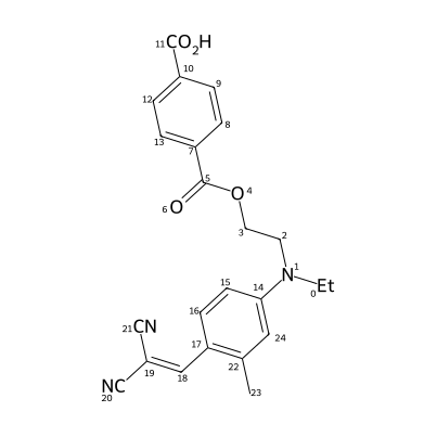 CCN(CCOC(=O)c1ccc(C(=O)O)cc1)c1ccc(C=C(C#N)C#N)c(C)c1